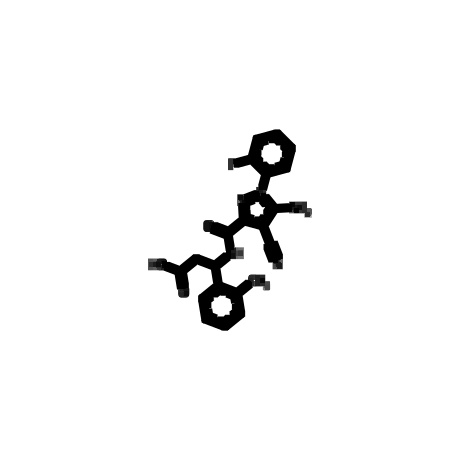 Cc1ccccc1C(CC(=O)O)NC(=O)c1nn(-c2ccccc2F)c(N)c1C#N